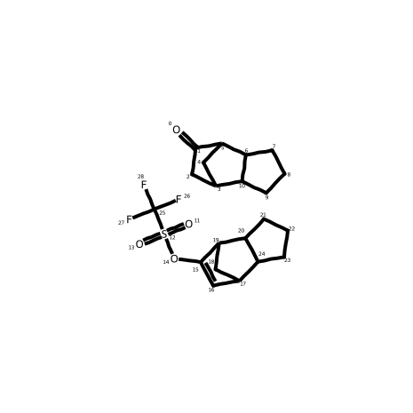 O=C1CC2CC1C1CCCC21.O=S(=O)(OC1=CC2CC1C1CCCC21)C(F)(F)F